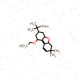 CCCCCCC(C)(C)C1CC(OCC(=O)O)C2=C3C=CC(C)(C)CC3OC2C1